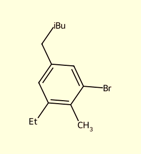 CCc1cc(CC(C)CC)cc(Br)c1C